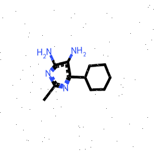 Cc1nc(N)c(N)c(C2CCCCC2)n1